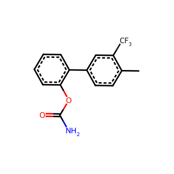 Cc1ccc(-c2ccccc2OC(N)=O)cc1C(F)(F)F